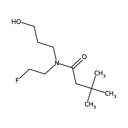 CC(C)(C)CC(=O)N(CCF)CCCO